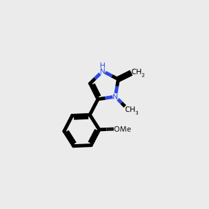 C=C1NC=C(c2ccccc2OC)N1C